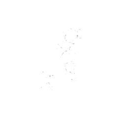 Cn1c(=O)n(Cc2cc(Cl)c(CNS(C)(=O)=O)s2)c2ccccc21